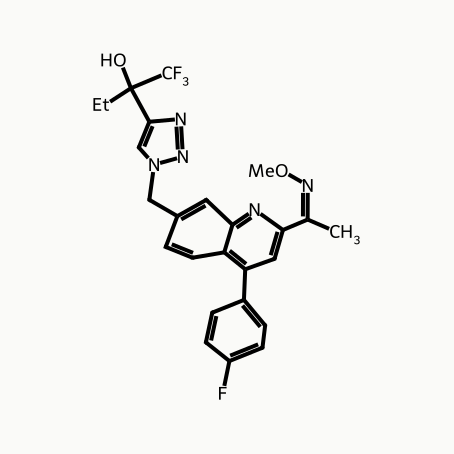 CCC(O)(c1cn(Cc2ccc3c(-c4ccc(F)cc4)cc(/C(C)=N\OC)nc3c2)nn1)C(F)(F)F